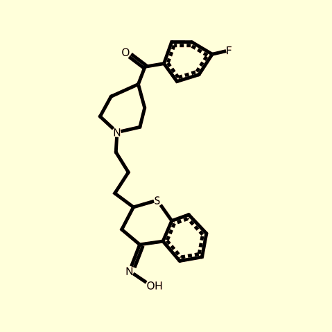 O=C(c1ccc(F)cc1)C1CCN(CCCC2C/C(=N/O)c3ccccc3S2)CC1